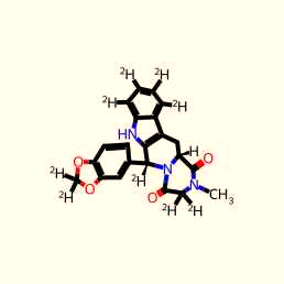 [2H]c1c([2H])c([2H])c2c3c([nH]c2c1[2H])[C@@]([2H])(c1ccc2c(c1)OC([2H])([2H])O2)N1C(=O)C([2H])([2H])N(C)C(=O)[C@H]1C3